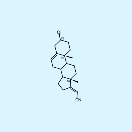 C[C@]12CC[C@H](O)CC1=CCC1C2CC[C@]2(C)C(=CC#N)CCC12